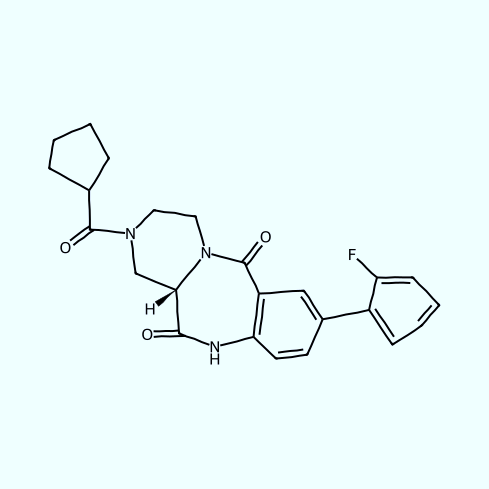 O=C1Nc2ccc(-c3ccccc3F)cc2C(=O)N2CCN(C(=O)C3CCCC3)C[C@@H]12